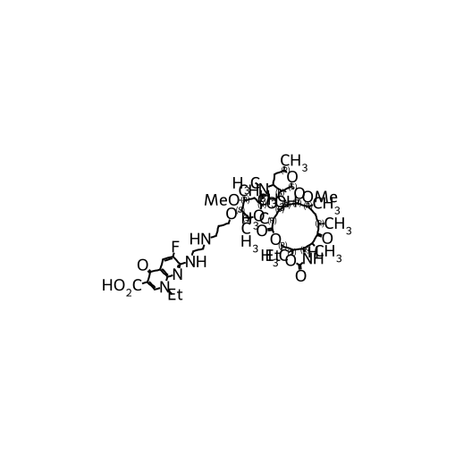 CC[C@H]1OC(=O)[C@H](C)[C@@H](O[C@H]2C[C@@](C)(OC)[C@@H](OCCCNCCNc3nc4c(cc3F)c(=O)c(C(=O)O)cn4CC)[C@H](C)O2)[C@H](C)[C@@H](O[C@@H]2O[C@H](C)CC(N(C)C)[C@H]2O)[C@](C)(OC)C[C@@H](C)C(=O)C(C)[C@H]2NC(=O)O[C@@]21C